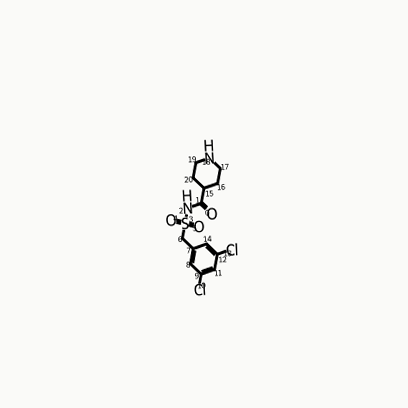 O=C(NS(=O)(=O)Cc1cc(Cl)cc(Cl)c1)C1CCNCC1